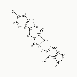 Cn1cnc2ncn(Cc3nn(CC4CCc5cc(Cl)ccc54)c(=O)o3)c(=O)c21